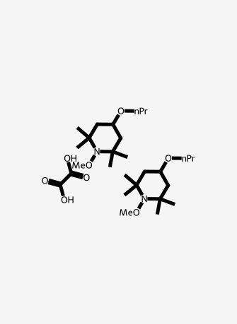 CCCOC1CC(C)(C)N(OC)C(C)(C)C1.CCCOC1CC(C)(C)N(OC)C(C)(C)C1.O=C(O)C(=O)O